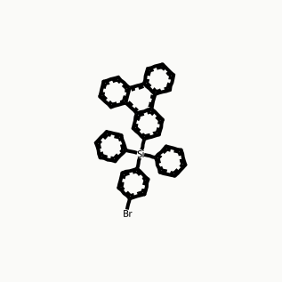 Brc1ccc([Si](c2ccccc2)(c2ccccc2)c2ccc3c4ccccc4c4ccccc4c3c2)cc1